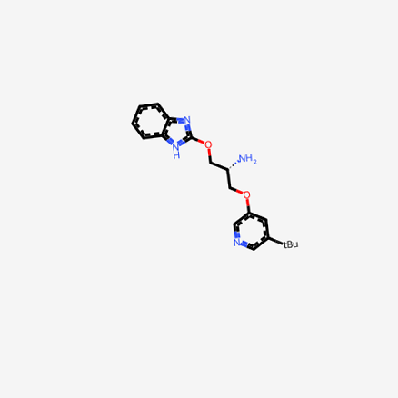 CC(C)(C)c1cncc(OC[C@@H](N)COc2nc3ccccc3[nH]2)c1